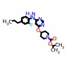 CCCc1ccc(N(N)c2cc(OC3CCN(C(=O)OC(C)C)CC3)ncn2)c(F)c1